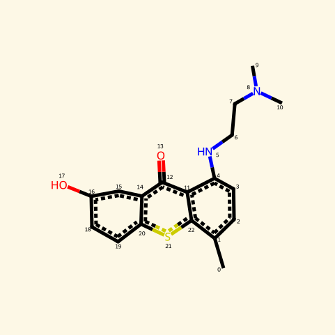 Cc1ccc(NCCN(C)C)c2c(=O)c3cc(O)ccc3sc12